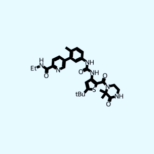 CCNC(=O)c1ccc(-c2cc(NC(=O)Nc3cc(C(C)(C)C)sc3C(=O)N3CCNC(=O)C3(C)C)ccc2C)cn1